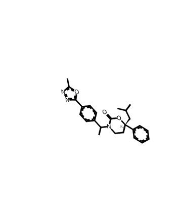 Cc1nnc(-c2ccc(C(C)N3CC[C@@](CC(C)C)(c4ccccc4)OC3=O)cc2)o1